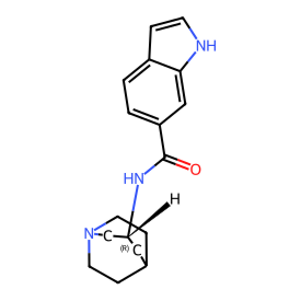 O=C(N[C@@H]1CC2CCN(CC2)C1)c1ccc2cc[nH]c2c1